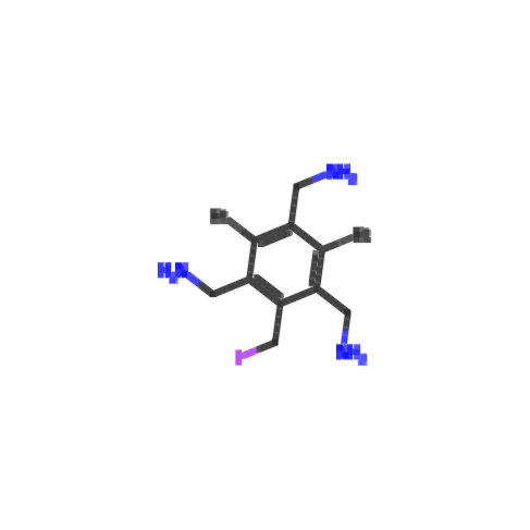 CCc1c(CN)c(CC)c(CN)c(CI)c1CN